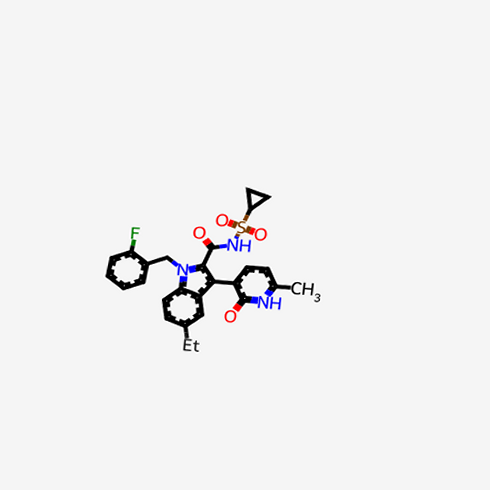 CCc1ccc2c(c1)c(-c1ccc(C)[nH]c1=O)c(C(=O)NS(=O)(=O)C1CC1)n2Cc1ccccc1F